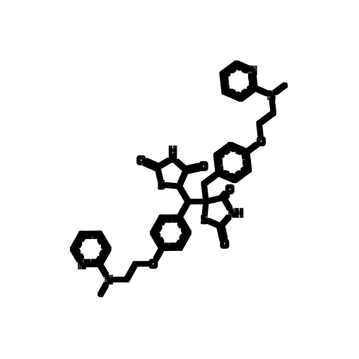 CN(CCOc1ccc(CC2(C(c3ccc(OCCN(C)c4ccccn4)cc3)C3SC(=O)NC3=O)SC(=O)NC2=O)cc1)c1ccccn1